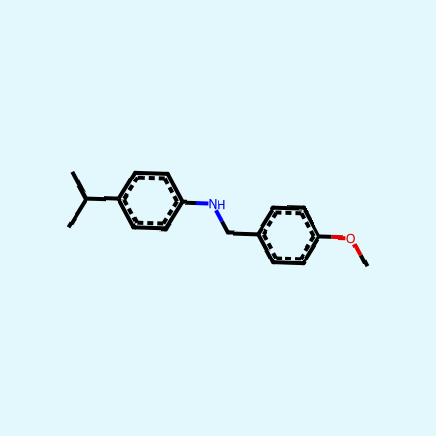 COc1ccc(CNc2ccc(C(C)C)cc2)cc1